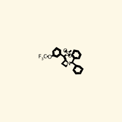 CS(=O)(=O)C(=C1CCN1C(c1ccccc1)c1ccccc1)c1cccc(OC(F)(F)F)c1